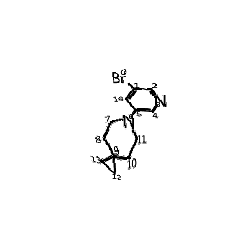 Brc1cncc(N2CCC3(CC2)CC3)c1